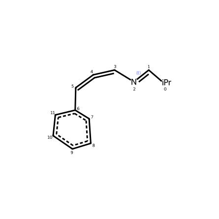 CC(C)/C=N/C=C=Cc1ccccc1